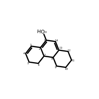 OC1=C2C=CCCC2C2CCCCC2=C1